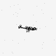 CCn1c(Cn2ccnc(NC(=O)[CH]CC/C=C/C(=O)N(C)C)c2=O)cc2cc(F)ccc21